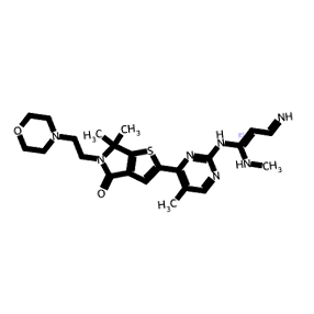 CN/C(=C\C=N)Nc1ncc(C)c(-c2cc3c(s2)C(C)(C)N(CCN2CCOCC2)C3=O)n1